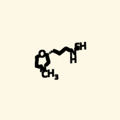 CN1CCO[C@H](CCCNS)C1